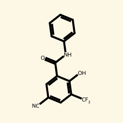 N#Cc1cc(C(=O)Nc2ccccc2)c(O)c(C(F)(F)F)c1